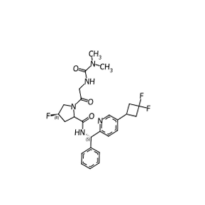 CN(C)C(=O)NCC(=O)N1C[C@H](F)CC1C(=O)N[C@@H](c1ccccc1)c1ccc(C2CC(F)(F)C2)cn1